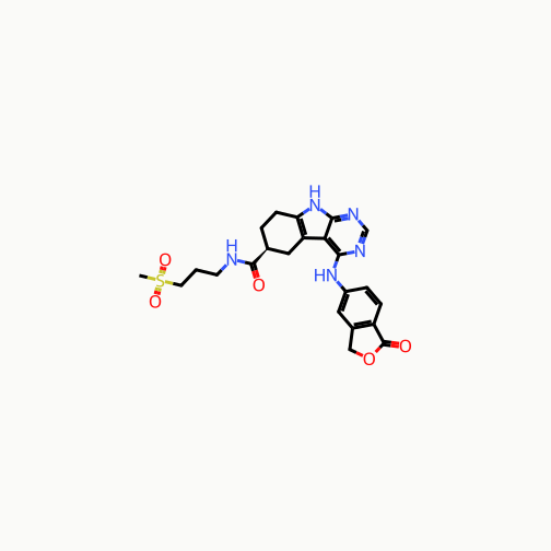 CS(=O)(=O)CCCNC(=O)[C@H]1CCc2[nH]c3ncnc(Nc4ccc5c(c4)COC5=O)c3c2C1